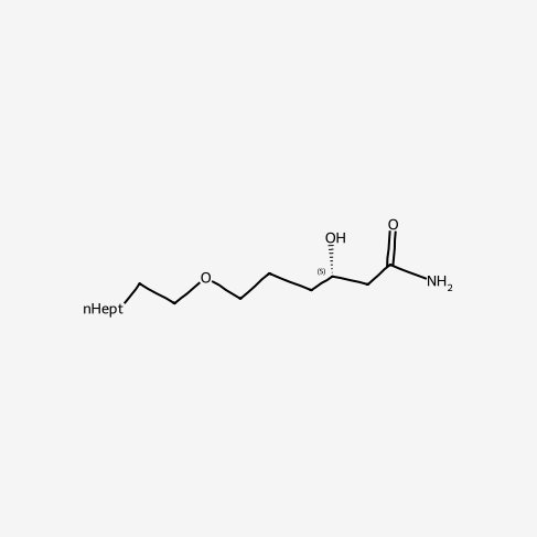 CCCCCCCCCOCCC[C@H](O)CC(N)=O